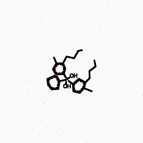 CCCCc1cc(P(O)(O)(c2ccccc2)c2ccc(C)c(CCCC)c2)ccc1C